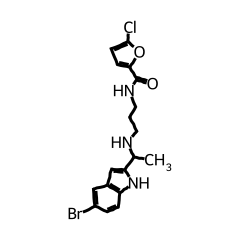 CC(NCCCNC(=O)c1ccc(Cl)o1)c1cc2cc(Br)ccc2[nH]1